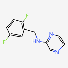 Fc1ccc(F)c(CNc2cnccn2)c1